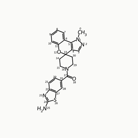 Cn1ncc2c1-c1ccccc1OC21CCN(C(=O)c2ccc3nc(N)sc3c2)CC1